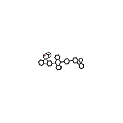 c1ccc2c(c1)-c1ccc(-c3c4ccccc4c(-c4ccc(-c5ccc6oc7ccccc7c6c5)cc4)c4ccccc34)cc1C21C2CC3CC(C2)CC1C3